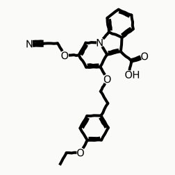 CCOc1ccc(CCOc2cc(OCC#N)cn3c2c(C(=O)O)c2ccccc23)cc1